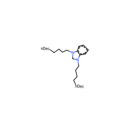 CCCCCCCCCCCCCCN1CN(CCCCCCCCCCCCCC)c2ccccc21